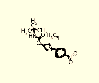 CC(C)(C)NC(=O)OC1CN(c2ccc([N+](=O)[O-])cc2)C1.CI